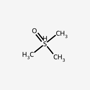 C[SH](C)(C)=O